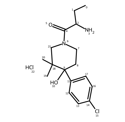 CCC(N)C(=O)N1CCC(O)(c2ccc(Cl)cc2)C(C)(C)C1.Cl